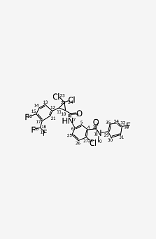 CN(C(=O)c1cc(NC(=O)C2C(c3ccc(F)c(C(F)F)c3)C2(Cl)Cl)ccc1Cl)c1ccc(F)cc1